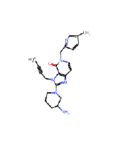 CC#CCn1c(N2CCCC(N)C2)nc2ccn(Cc3ccc(C)cn3)c(=O)c21